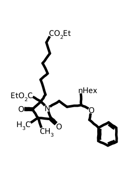 CCCCCCC(CCN1C(=O)C(C)(C)C(=O)C1(CCCCCCC(=O)OCC)C(=O)OCC)OCc1ccccc1